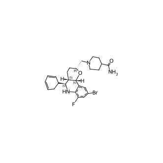 NC(=O)C1CCN(C[C@H]2CC[C@@H]3[C@H](O2)c2cc(Br)cc(F)c2N[C@H]3C2C=CC=CC2)CC1